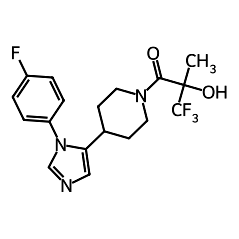 CC(O)(C(=O)N1CCC(c2cncn2-c2ccc(F)cc2)CC1)C(F)(F)F